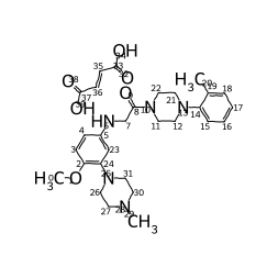 COc1ccc(NCC(=O)N2CCN(c3ccccc3C)CC2)cc1N1CCN(C)CC1.O=C(O)C=CC(=O)O